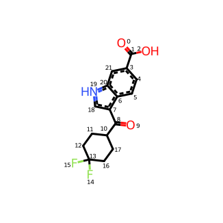 O=C(O)c1ccc2c(C(=O)C3CCC(F)(F)CC3)c[nH]c2c1